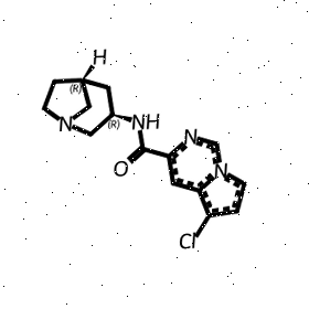 O=C(N[C@@H]1C[C@H]2CCN(C2)C1)c1cc2c(Cl)ccn2cn1